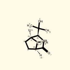 CC(C)(O)[C@H]1NC(=O)[C@H]2CC[C@@H]1N2C(=O)O